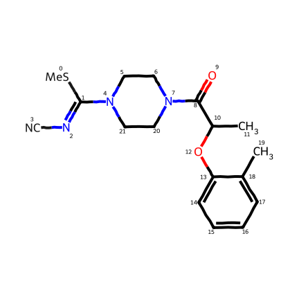 CSC(=NC#N)N1CCN(C(=O)C(C)Oc2ccccc2C)CC1